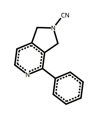 N#CN1Cc2ccnc(-c3ccccc3)c2C1